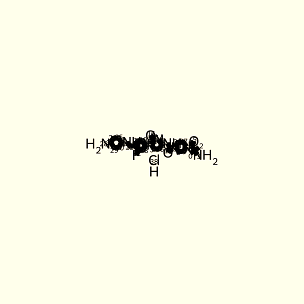 CC(C)(N)C(=O)N1CCN(C(=O)NC2=NC(=O)N(c3ccc(CN[C@H]4CC[C@H](N)CC4)c(F)c3)CC2)CC1.Cl